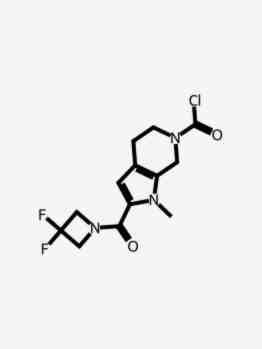 Cn1c(C(=O)N2CC(F)(F)C2)cc2c1CN(C(=O)Cl)CC2